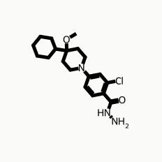 COC1(C2CCCCC2)CCN(c2ccc(C(=O)NN)c(Cl)c2)CC1